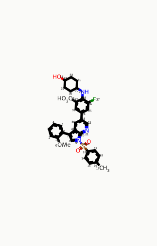 COc1ccccc1-c1cn(S(=O)(=O)c2ccc(C)cc2)c2ncc(-c3cc(F)c(NC4CCC(O)CC4)c(C(=O)O)c3)cc12